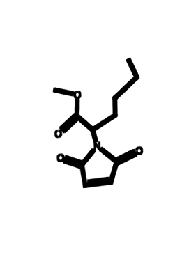 CCCCC(C(=O)OC)N1C(=O)C=CC1=O